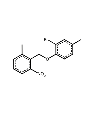 Cc1ccc(OCc2c(C)cccc2[N+](=O)[O-])c(Br)c1